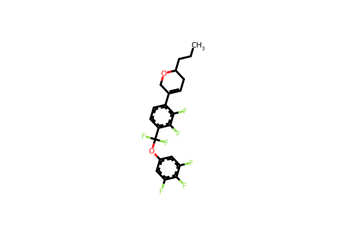 CCCC1CC=C(c2ccc(C(F)(F)Oc3cc(F)c(F)c(F)c3)c(F)c2F)CO1